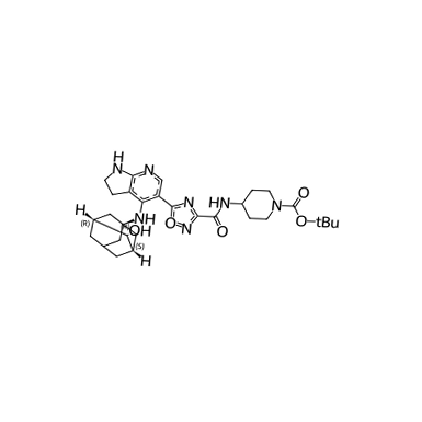 CC(C)(C)OC(=O)N1CCC(NC(=O)c2noc(-c3cnc4c(c3N[C@@]35CC6C[C@H](C3)C(O)[C@@H](C6)C5)CCN4)n2)CC1